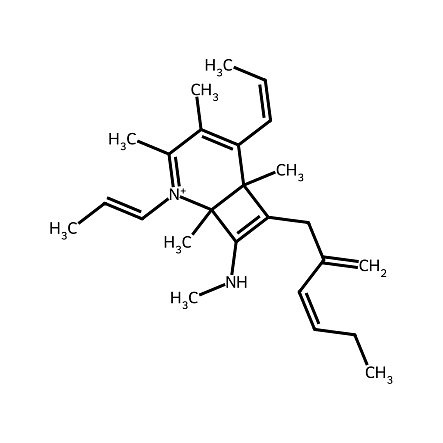 C=C(/C=C\CC)CC1=C(NC)C2(C)[N+](/C=C/C)=C(C)C(C)=C(/C=C\C)C12C